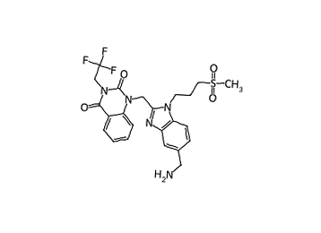 CS(=O)(=O)CCCn1c(Cn2c(=O)n(CC(F)(F)F)c(=O)c3ccccc32)nc2cc(CN)ccc21